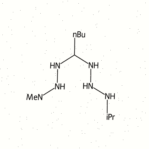 CCCCC(NNNC)NNNC(C)C